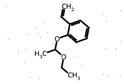 C=Cc1ccccc1OC(C)OCC